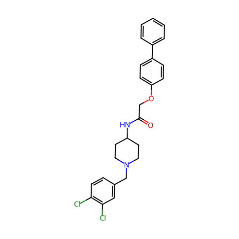 O=C(COc1ccc(-c2ccccc2)cc1)NC1CCN(Cc2ccc(Cl)c(Cl)c2)CC1